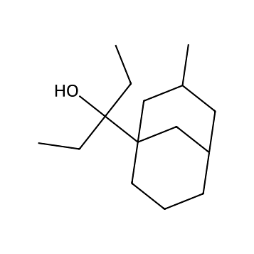 CCC(O)(CC)C12CCCC(CC(C)C1)C2